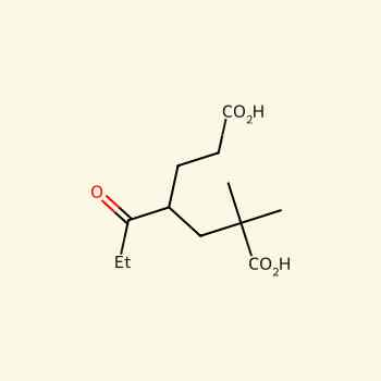 CCC(=O)C(CCC(=O)O)CC(C)(C)C(=O)O